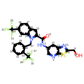 O=C(Nc1cnc2sc(CO)nc2c1)c1cc2ccc(C(F)(F)F)cc2n1Cc1ccccc1C(F)(F)F